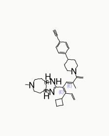 C#Cc1ccc(C2CCN(C(=C)/C(C)=C/C(C3=N[C@@H]4CCN(C)CC[C@@H]4N3)=C(\C=C)C3CCC3)CC2)cc1